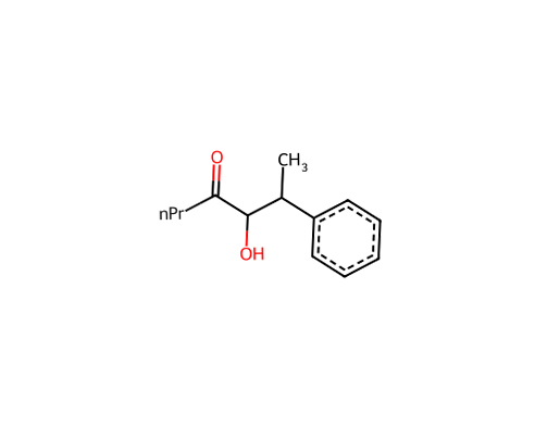 CCCC(=O)C(O)C(C)c1ccccc1